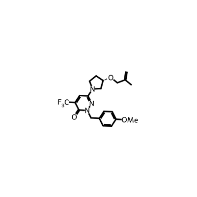 C=C(C)CO[C@H]1CCN(c2cc(C(F)(F)F)c(=O)n(Cc3ccc(OC)cc3)n2)C1